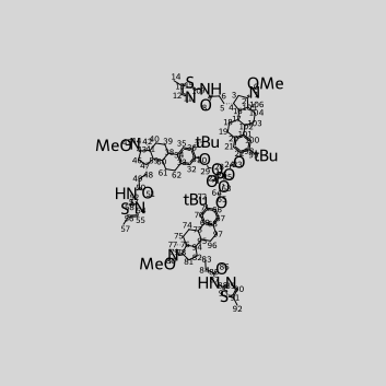 CO/N=C1\C[C@@H](CCC(=O)Nc2ncc(C)s2)C2C3CCc4cc(OCOP(=O)(OCOc5cc6c(cc5C(C)(C)C)C5CC[C@]7(C)/C(=N/OC)C[C@@H](CCC(=O)Nc8ncc(C)s8)C7C5CC6)OCOc5cc6c(cc5C(C)(C)C)C5CC[C@]7(C)/C(=N/OC)C[C@@H](CCC(=O)Nc8ncc(C)s8)C7C5CC6)c(C(C)(C)C)cc4C3CC[C@]12C